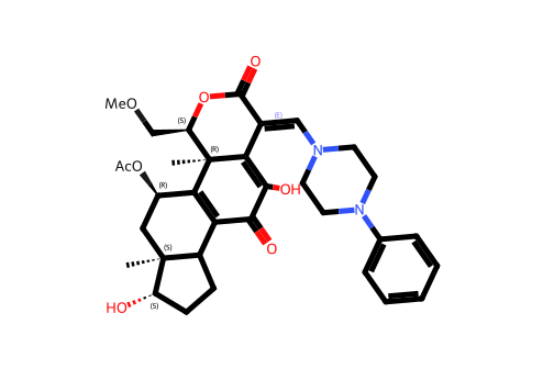 COC[C@H]1OC(=O)/C(=C/N2CCN(c3ccccc3)CC2)C2=C(O)C(=O)C3=C([C@H](OC(C)=O)C[C@@]4(C)C3CC[C@@H]4O)[C@]21C